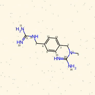 CN(Cc1ccc(CNC(=N)N)cc1)C(=N)N